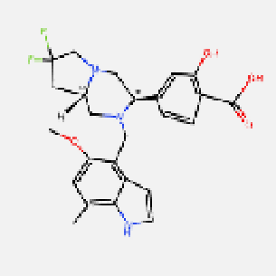 COc1cc(C)c2[nH]ccc2c1CN1C[C@@H]2CC(F)(F)CN2C[C@H]1c1ccc(C(=O)O)c(O)c1